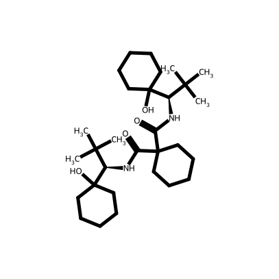 CC(C)(C)[C@@H](NC(=O)C1(C(=O)N[C@H](C(C)(C)C)C2(O)CCCCC2)CCCCC1)C1(O)CCCCC1